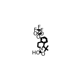 CC(C)(C)C1c2cccc(OS(=O)(=O)C(F)(F)F)c2CCN1C(=O)O